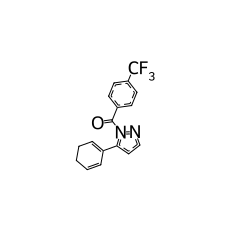 O=C(c1ccc(C(F)(F)F)cc1)n1nccc1C1=CCCC=C1